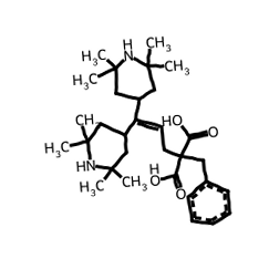 CC1(C)CC(C(=CCC(Cc2ccccc2)(C(=O)O)C(=O)O)C2CC(C)(C)NC(C)(C)C2)CC(C)(C)N1